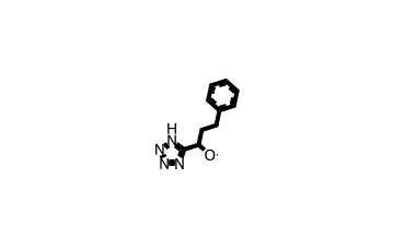 [O]C(CCc1ccccc1)c1nnn[nH]1